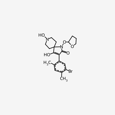 Cc1cc(C)c(C2=C(O)C3(CCN(O)CC3)N(OC3CCCO3)C2=O)cc1Br